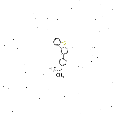 CC(C)Cc1ccc(-c2ccc3sc4ccccc4c3c2)cc1